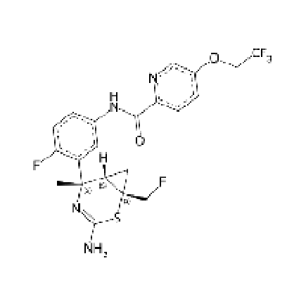 C[C@]1(c2cc(NC(=O)c3ccc(OCC(F)(F)F)cn3)ccc2F)N=C(N)S[C@@]2(CF)C[C@H]21